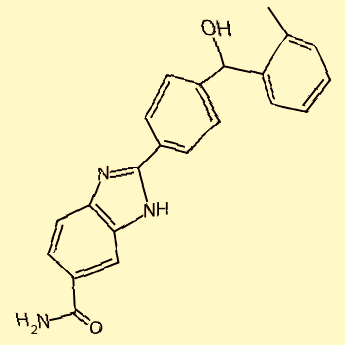 Cc1ccccc1C(O)c1ccc(-c2nc3ccc(C(N)=O)cc3[nH]2)cc1